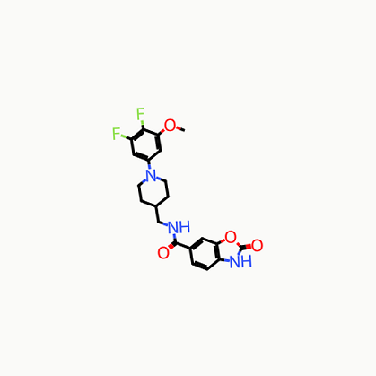 COc1cc(N2CCC(CNC(=O)c3ccc4[nH]c(=O)oc4c3)CC2)cc(F)c1F